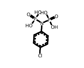 O=P(O)(O)N(c1ccc(Cl)cc1)P(=O)(O)O